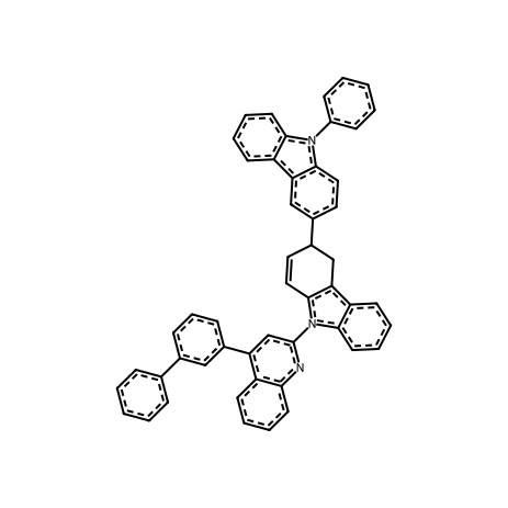 C1=CC(c2ccc3c(c2)c2ccccc2n3-c2ccccc2)Cc2c1n(-c1cc(-c3cccc(-c4ccccc4)c3)c3ccccc3n1)c1ccccc21